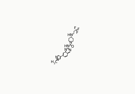 Cn1cc(-c2ccc3cnc(NC(=O)N4CCC(NCCC(F)(F)F)CC4)nc3c2)cn1